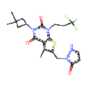 Cc1c(Cn2[nH]ccc2=O)sc2c1c(=O)n(C1CC(C)(C)C1)c(=O)n2CCC(F)(F)F